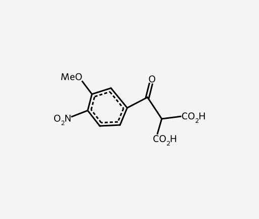 COc1cc(C(=O)C(C(=O)O)C(=O)O)ccc1[N+](=O)[O-]